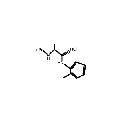 CCCNC(C)C(=O)Nc1ccccc1C.Cl